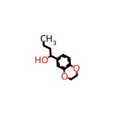 CCCC(O)c1ccc2c(c1)OCCO2